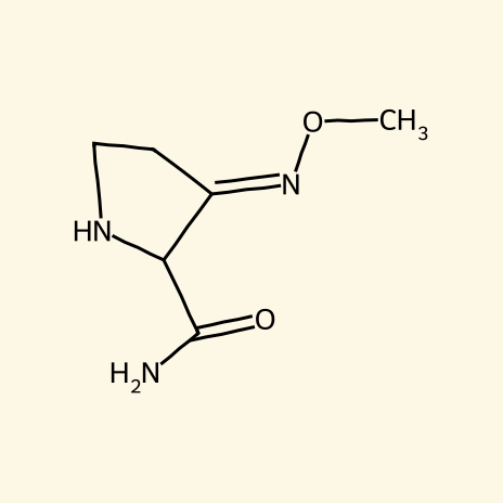 CON=C1CCNC1C(N)=O